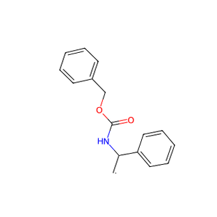 [CH2]C(NC(=O)OCc1ccccc1)c1ccccc1